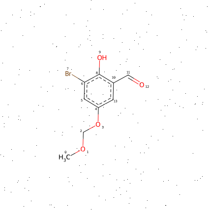 COCOc1cc(Br)c(O)c(C=O)c1